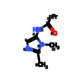 CCCC(=O)Nc1cnc(C)n1C